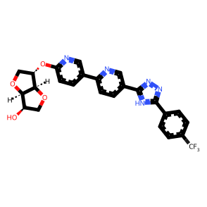 O[C@@H]1CO[C@H]2[C@@H]1OC[C@@H]2Oc1ccc(-c2ccc(-c3nnc(-c4ccc(C(F)(F)F)cc4)[nH]3)cn2)cn1